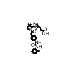 Cc1ccccc1NC(=O)Nc1ccc(CC(=O)N2CCC(C)(C)C2c2ncc(CCC(=O)O)s2)cc1